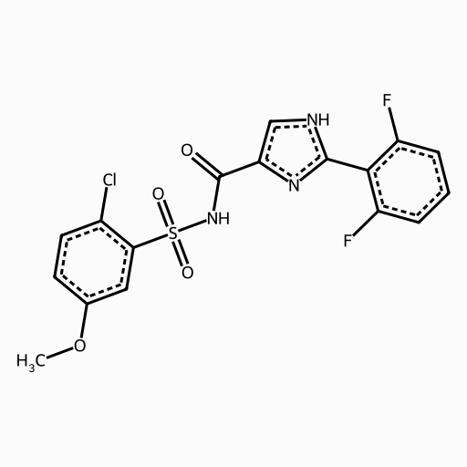 COc1ccc(Cl)c(S(=O)(=O)NC(=O)c2c[nH]c(-c3c(F)cccc3F)n2)c1